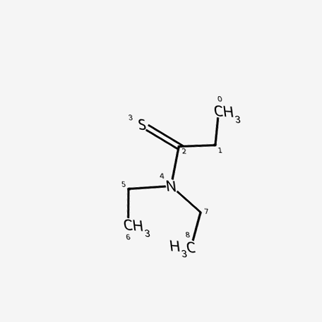 CCC(=S)N(CC)CC